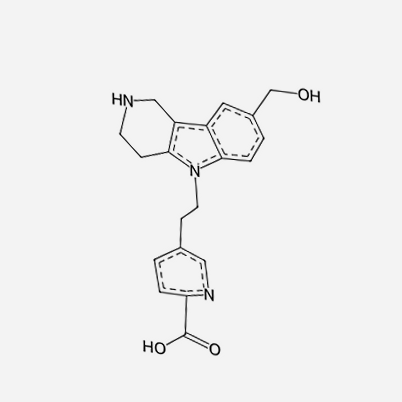 O=C(O)c1ccc(CCn2c3c(c4cc(CO)ccc42)CNCC3)cn1